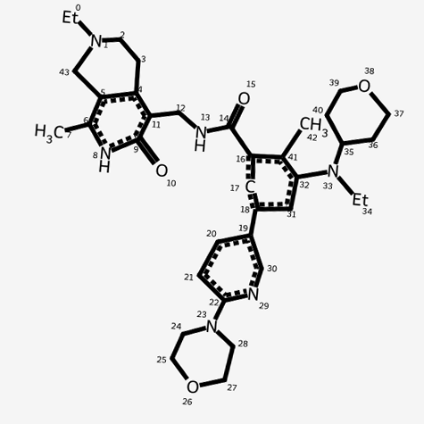 CCN1CCc2c(c(C)[nH]c(=O)c2CNC(=O)c2cc(-c3ccc(N4CCOCC4)nc3)cc(N(CC)C3CCOCC3)c2C)C1